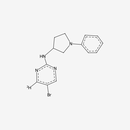 [2H]c1nc(NC2CCN(c3ccccc3)C2)ncc1Br